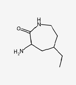 CCC1CCNC(=O)C(N)C1